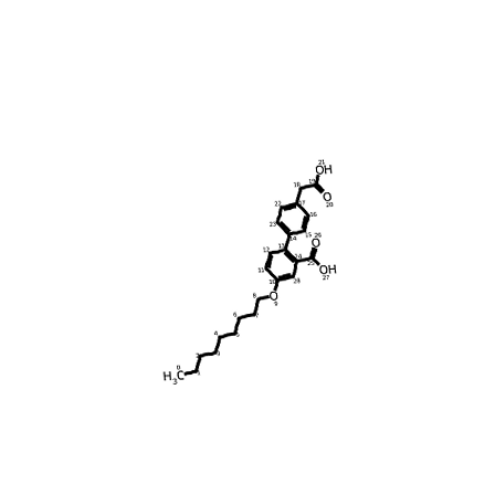 CCCCCCCCCOc1ccc(-c2ccc(CC(=O)O)cc2)c(C(=O)O)c1